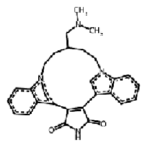 CN(C)CC1CCn2cc(c3ccccc32)C2=C(C(=O)NC2=O)c2cn(c3ccccc23)CC1